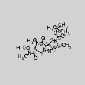 CON(C)C(=O)[C@@H]1CN(C)C(=O)c2c3c(nn2C1)C[C@@H](C)N(C(=O)OC(C)(C)C)C3